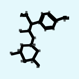 CC(=O)OC(c1ccc(C(C)(C)C)cc1)C(C)CN1CC(C)OC(C)C1